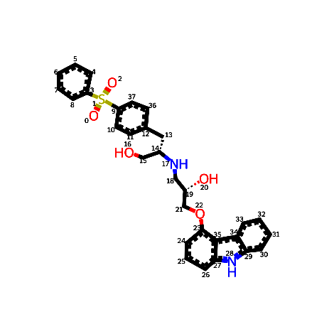 O=S(=O)(c1ccccc1)c1ccc(C[C@@H](CO)NC[C@H](O)COc2cccc3[nH]c4ccccc4c23)cc1